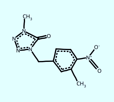 Cc1cc(Cn2nnn(C)c2=O)ccc1[N+](=O)[O-]